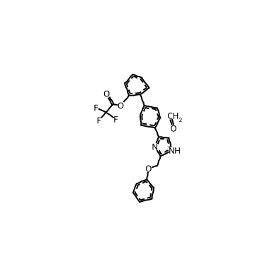 C=O.O=C(Oc1ccccc1-c1ccc(-c2c[nH]c(COc3ccccc3)n2)cc1)C(F)(F)F